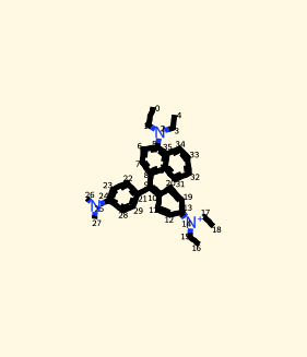 CCN(CC)c1ccc(C(=C2C=CC(=[N+](CC)CC)C=C2)c2ccc(N(C)C)cc2)c2ccccc12